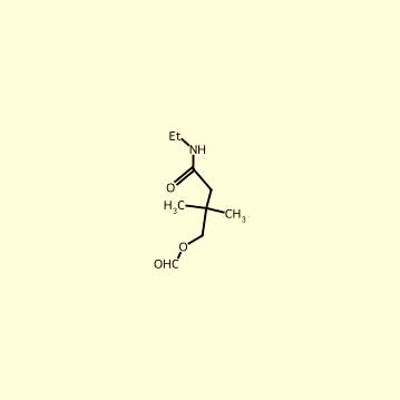 CCNC(=O)CC(C)(C)COC=O